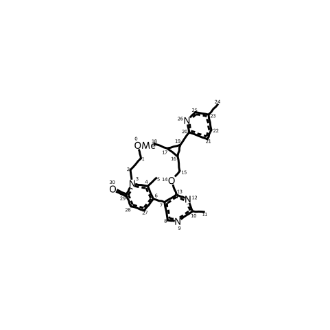 COCCn1c(C)c(-c2cnc(C)nc2OCC2C(C)C2c2ccc(C)cn2)ccc1=O